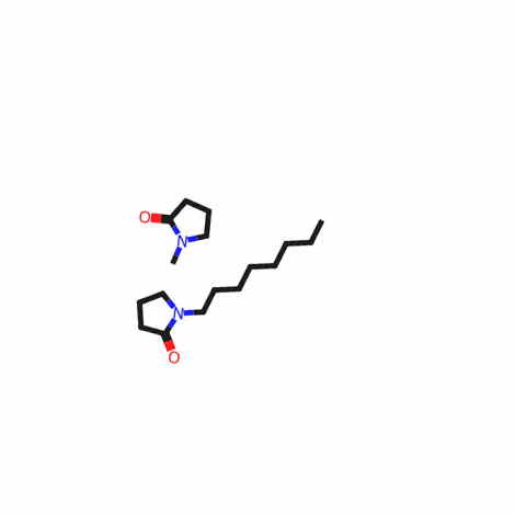 CCCCCCCCN1CCCC1=O.CN1CCCC1=O